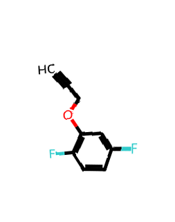 C#CCOc1cc(F)ccc1F